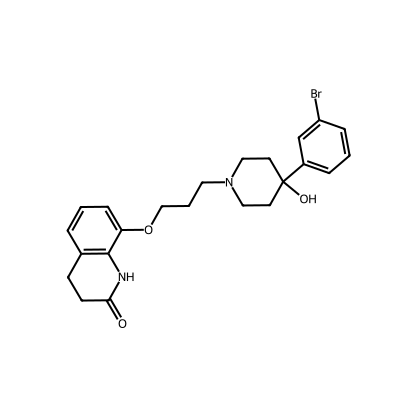 O=C1CCc2cccc(OCCCN3CCC(O)(c4cccc(Br)c4)CC3)c2N1